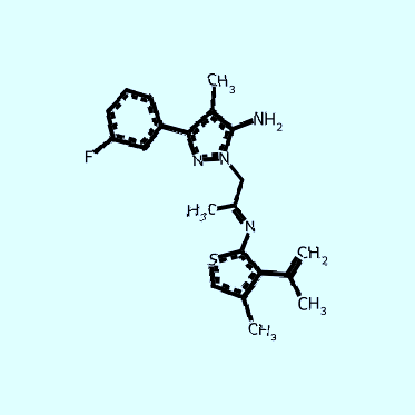 C=C(C)c1c(C)csc1/N=C(\C)Cn1nc(-c2cccc(F)c2)c(C)c1N